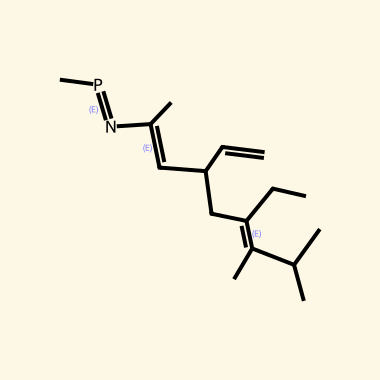 C=CC(/C=C(C)/N=P/C)C/C(CC)=C(\C)C(C)C